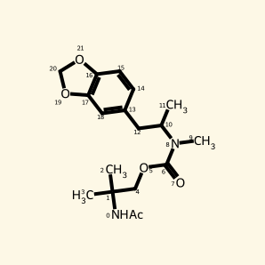 CC(=O)NC(C)(C)COC(=O)N(C)C(C)Cc1ccc2c(c1)OCO2